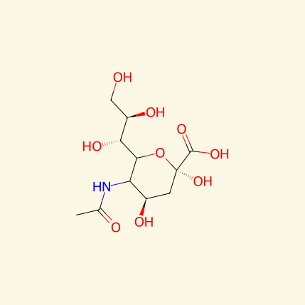 CC(=O)NC1C([C@H](O)[C@H](O)CO)O[C@@](O)(C(=O)O)C[C@H]1O